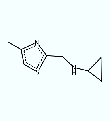 Cc1csc(CNC2CC2)n1